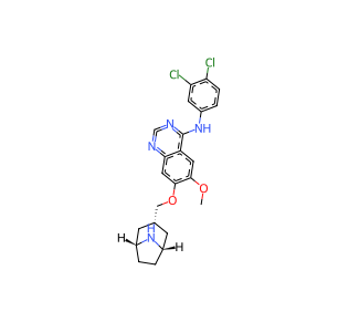 COc1cc2c(Nc3ccc(Cl)c(Cl)c3)ncnc2cc1OC[C@H]1C[C@H]2CC[C@@H](C1)N2